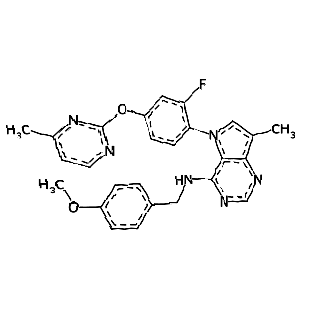 COc1ccc(CNc2ncnc3c(C)cn(-c4ccc(Oc5nccc(C)n5)cc4F)c23)cc1